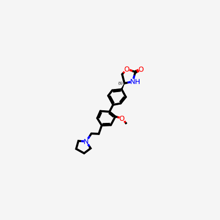 COc1cc(CCN2CCCC2)ccc1-c1ccc([C@H]2COC(=O)N2)cc1